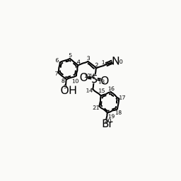 N#CC(=Cc1cccc(O)c1)S(=O)(=O)Cc1cccc(Br)c1